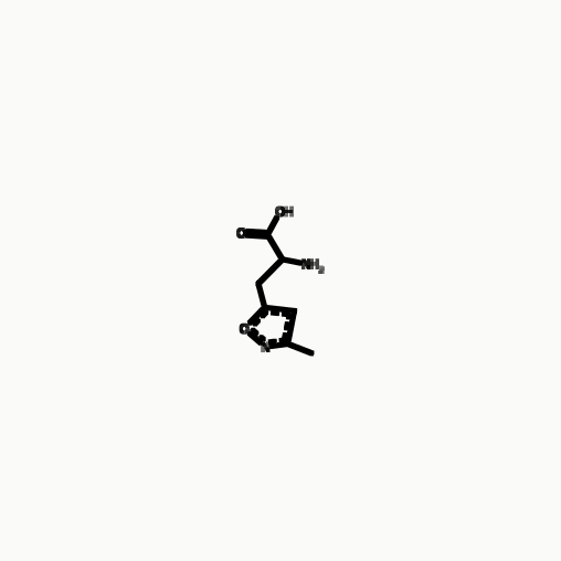 Cc1cc(CC(N)C(=O)O)on1